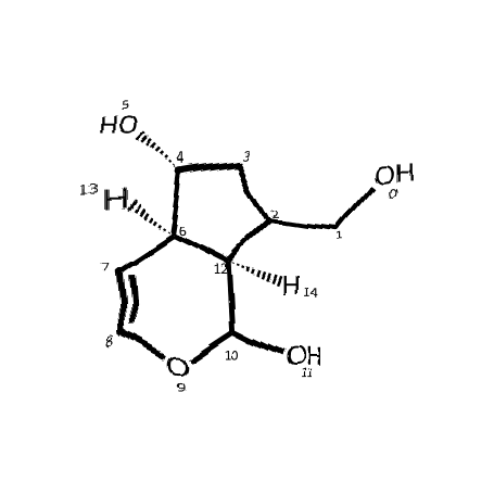 OCC1C[C@@H](O)[C@@H]2C=COC(O)[C@H]12